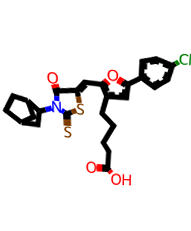 O=C(O)CCCCc1cc(-c2ccc(Cl)cc2)oc1C=C1SC(=S)N(C2CC3CCC2C3)C1=O